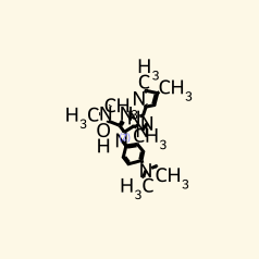 CCN(CC)c1ccc(/N=C2/C(C(O)N(C)C)=Nn3c(C4=NC(C)C(C)=C4)nnc32)c(C)c1